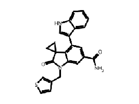 NC(=O)c1cc(-c2c[nH]c3ccccc23)c2c(c1)N(Cc1ccsc1)C(=O)C21CC1